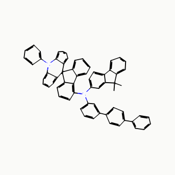 CC1(C)c2ccccc2-c2ccc(N(c3cccc(-c4ccc(-c5ccccc5)cc4)c3)c3cccc4c3-c3ccccc3C43c4ccccc4N(c4ccccc4)c4ccccc43)cc21